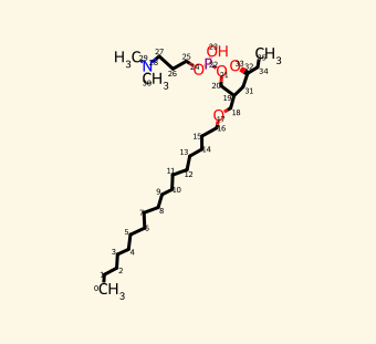 CCCCCCCCCCCCCCCCCOCC(COP(O)OCCCN(C)C)CC(=O)CC